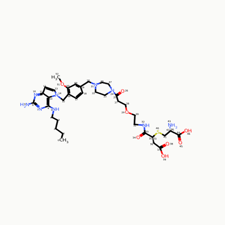 CCCCCNc1nc(N)nc2ccn(Cc3ccc(CN4CCN(C(=O)CCOCCNC(=O)[C@H](CC(=O)O)SC[C@H](N)C(=O)O)CC4)cc3OC)c12